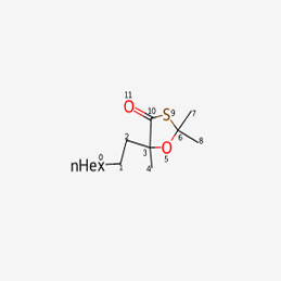 CCCCCCCCC1(C)OC(C)(C)SC1=O